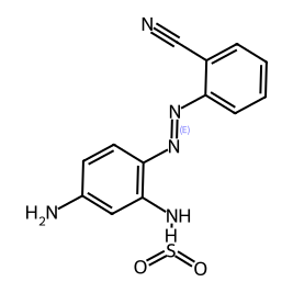 N#Cc1ccccc1/N=N/c1ccc(N)cc1N[SH](=O)=O